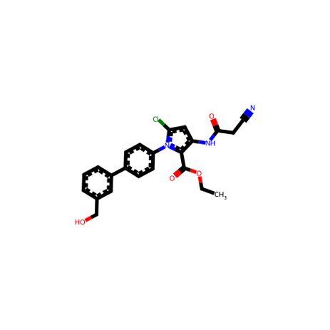 CCOC(=O)c1c(NC(=O)CC#N)cc(Cl)n1-c1ccc(-c2cccc(CO)c2)cc1